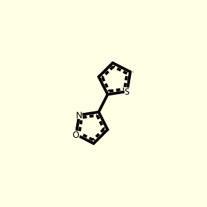 [c]1ccc(-c2ccon2)s1